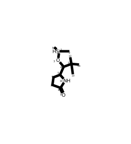 C[SiH](C)OC(C1CCC(=O)N1)C(C)(C)C